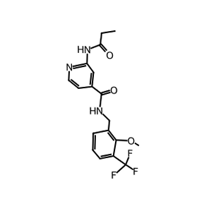 CCC(=O)Nc1cc(C(=O)NCc2cccc(C(F)(F)F)c2OC)ccn1